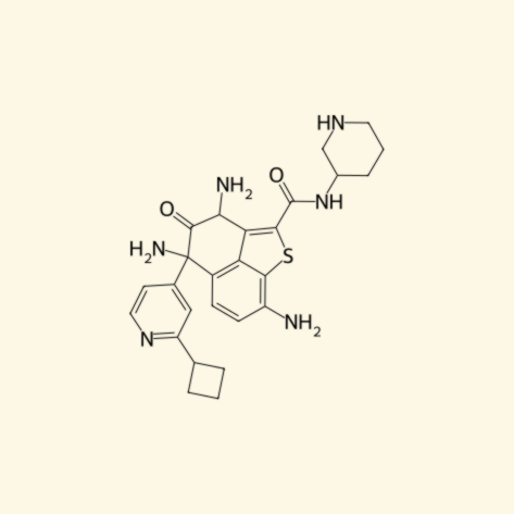 Nc1ccc2c3c(c(C(=O)NC4CCCNC4)sc13)C(N)C(=O)C2(N)c1ccnc(C2CCC2)c1